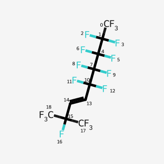 FC(F)(F)C(F)(F)C(F)(F)C(F)(F)C(F)(F)C=CC(F)(C(F)(F)F)C(F)(F)F